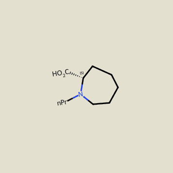 CCCN1CCCCC[C@H]1C(=O)O